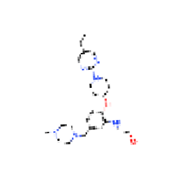 CCc1cnc(N2CCC(Oc3ccc(CN4CCN(C)CC4)cc3NCCOC)CC2)nc1